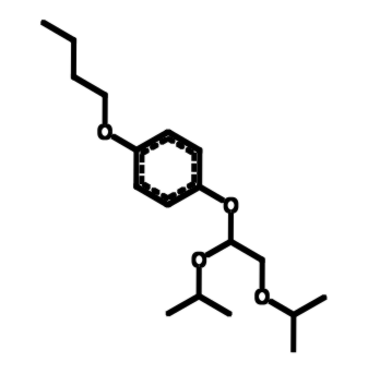 CCCCOc1ccc(OC(COC(C)C)OC(C)C)cc1